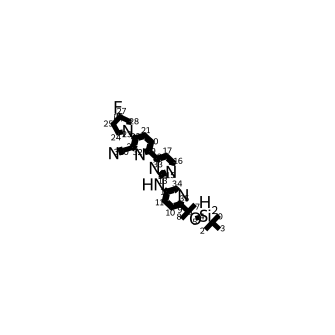 CC(C)(C)[SiH2]OC(C)(C)c1ccc(Nc2nccc(-c3ccc(N4CC[C@H](F)C4)c(C#N)n3)n2)cn1